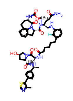 Cc1ncsc1-c1ccc([C@H](C)NC(=O)[C@@H]2C[C@@H](O)CN2C(=O)[C@@H](NC(=O)CCCCCc2cccc(NC[C@H](CCC(N)=O)NC(=O)[C@@H]3Cc4cccc5c4N3C(=O)[C@@H](NC(=O)OC(C)(C)C)CC5)c2F)C(C)(C)C)cc1